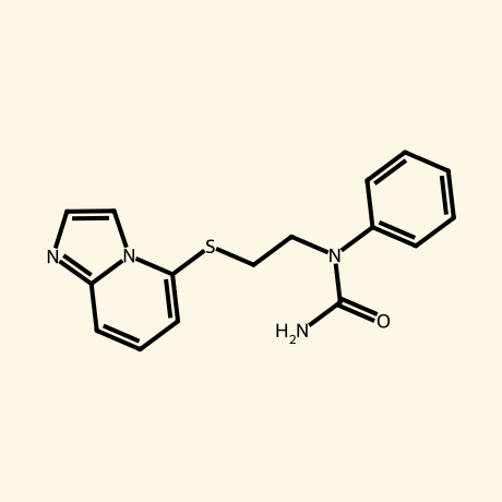 NC(=O)N(CCSc1cccc2nccn12)c1ccccc1